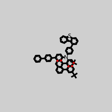 CC(C)(C)c1cc(-c2cccc3cccc(-c4ccccc4N(c4ccc(-c5ccc(-c6ccccc6)cc5)cc4)c4ccc(-c5cccc6sc7ccccc7c56)cc4)c23)cc(C(C)(C)C)c1